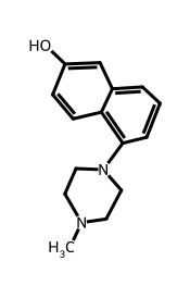 CN1CCN(c2cccc3cc(O)ccc23)CC1